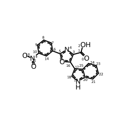 O=C(O)c1nc(-c2cccc([N+](=O)[O-])c2)oc1-c1c[nH]c2ccccc12